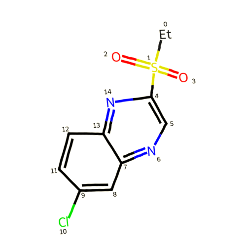 CCS(=O)(=O)c1cnc2cc(Cl)ccc2n1